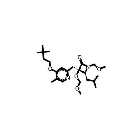 COCO[C@@]1(Cc2cc(OCCC(C)(C)C)c(C)cn2)C(=O)N(COC)[C@H]1CC(C)C